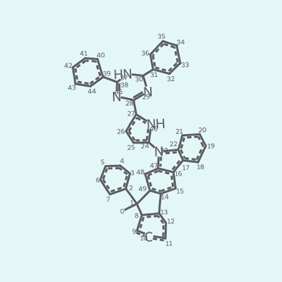 CC1(c2ccccc2)c2ccccc2-c2cc3c4ccccc4n(-c4ccc(C5=NC(c6ccccc6)NC(c6ccccc6)=N5)[nH]4)c3cc21